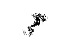 CC(=O)Nc1cc(Nc2ccnc(C(C)(F)F)n2)c(-c2cnn(CCN3CCN(C)CC3)n2)cn1